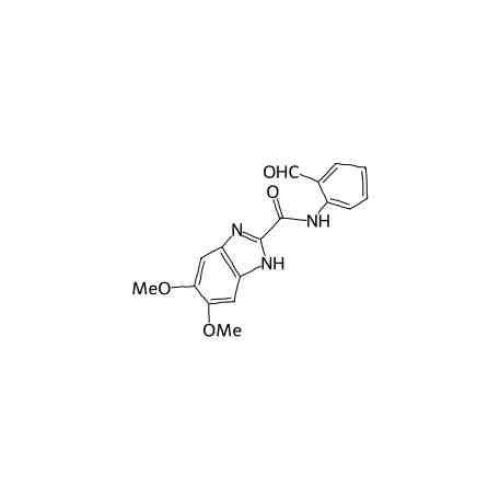 COc1cc2nc(C(=O)Nc3ccccc3C=O)[nH]c2cc1OC